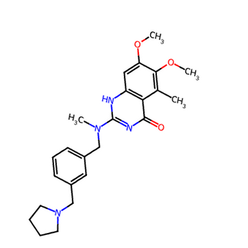 COc1cc2[nH]c(N(C)Cc3cccc(CN4CCCC4)c3)nc(=O)c2c(C)c1OC